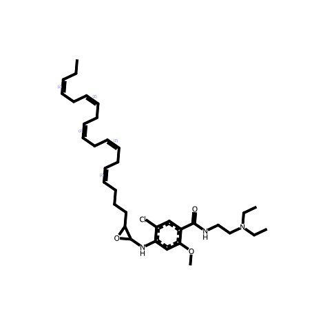 CC/C=C\C/C=C\C/C=C\C/C=C\C/C=C\CCCC1OC1Nc1cc(OC)c(C(=O)NCCN(CC)CC)cc1Cl